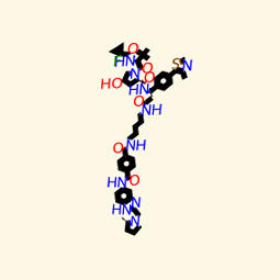 Cc1ncsc1-c1ccc([C@H](CC(=O)NCCCCCNC(=O)c2ccc(C(=O)Nc3ccc4[nH]c(CN5CCC[C@@H]5C)nc4c3)cc2)NC(=O)[C@@H]2C[C@@H](O)CN2C(=O)[C@@H](NC(=O)C2(F)CC2)C(C)(C)C)cc1